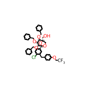 OC[C@]12CO[C@@](c3ccc(Cl)c(Cc4ccc(OCC(F)(F)F)cc4)c3)(O1)[C@H](OCc1ccccc1)[C@@H](OCc1ccccc1)[C@H]2OCc1ccccc1